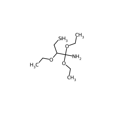 CCOC(C[SiH3])C(N)(OCC)OCC